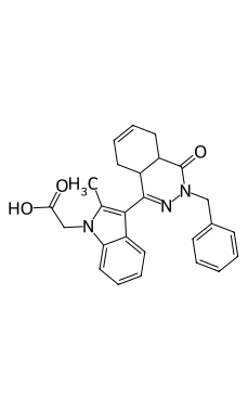 Cc1c(C2=NN(Cc3ccccc3)C(=O)C3CC=CCC23)c2ccccc2n1CC(=O)O